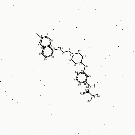 Cc1ccc2c(OCCN3CCC(Cc4cccc(NC(=O)C(C)C)c4)CC3)cccc2n1